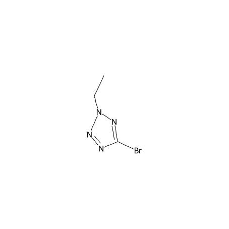 CCn1nnc(Br)n1